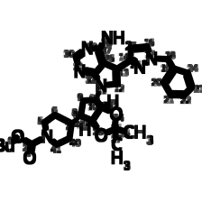 CC(C)(C)OC(=O)N1CCC([C@H]2C[C@@H](n3cc(-c4ccn(Cc5ccccc5)n4)c4c(N)ncnc43)[C@@H]3OC(C)(C)O[C@@H]32)CC1